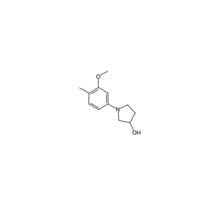 COc1cc(N2CCC(O)C2)ccc1C